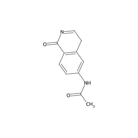 CC(=O)Nc1ccc2c(c1)CC=NC2=O